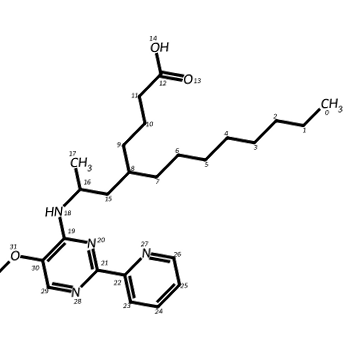 CCCCCCCCC(CCCC(=O)O)CC(C)Nc1nc(-c2ccccn2)ncc1OC